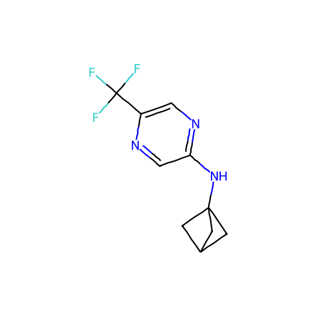 FC(F)(F)c1cnc(NC23CC(C2)C3)cn1